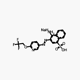 Nc1c(N=Nc2ccc(OCC(F)(F)F)nc2)cc(S(=O)(=O)O)c2ccccc12.[NaH]